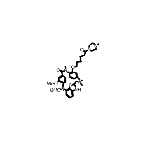 COc1cc(C(=O)N(C)c2ccc(C)cc2OCCCCCC(=O)N2CCN(C)CC2)ccc1N(C=O)c1cccc2[nH]c(CN(C)C)nc12